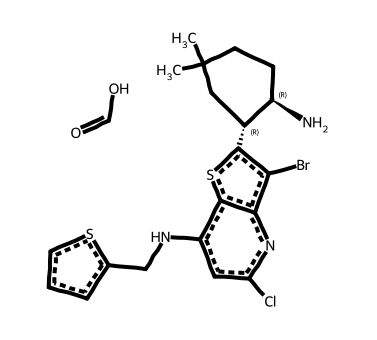 CC1(C)CC[C@@H](N)[C@H](c2sc3c(NCc4cccs4)cc(Cl)nc3c2Br)C1.O=CO